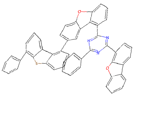 c1ccc(-c2nc(-c3cccc4c3oc3ccccc34)nc(-c3cccc4oc5ccc(-c6cccc7sc8c(-c9ccccc9)cccc8c67)cc5c34)n2)cc1